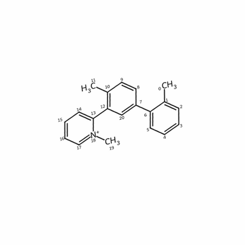 Cc1ccccc1-c1ccc(C)c(-c2cccc[n+]2C)c1